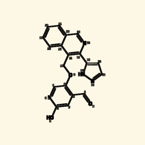 O=Cc1cc(O)ncc1OCc1c(-c2ccn[nH]2)ncc2ccccc12